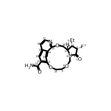 CC[C@@H]1[C@H](F)C(=O)N2COCCOc3cc4c(nccc4cc3C(N)=O)OC[C@H]12